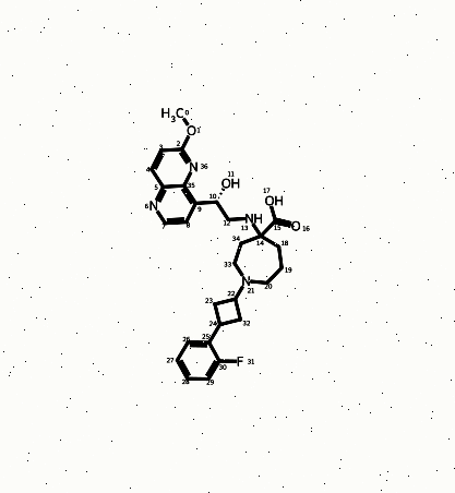 COc1ccc2nccc([C@H](O)CNC3(C(=O)O)CCCN(C4CC(c5ccccc5F)C4)CC3)c2n1